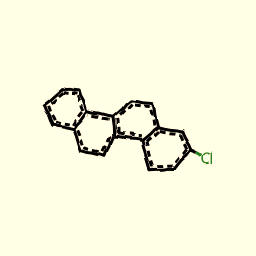 Clc1ccc2c(ccc3c4ccccc4ccc23)c1